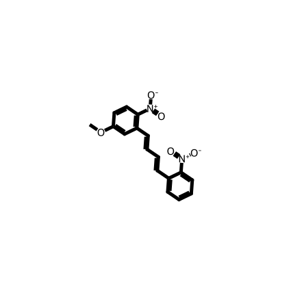 COc1ccc([N+](=O)[O-])c(C=CC=Cc2ccccc2[N+](=O)[O-])c1